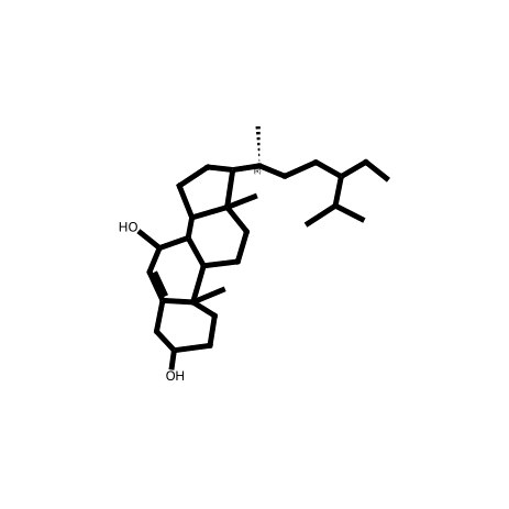 CCC(CC[C@@H](C)C1CCC2C3C(O)C=C4CC(O)CCC4(C)C3CCC21C)C(C)C